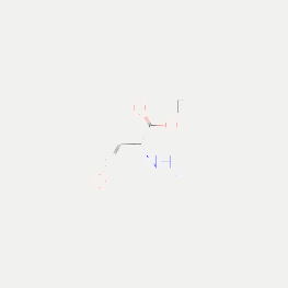 CCOC(=O)C(N)C=C=O